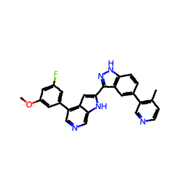 COc1cc(F)cc(-c2cncc3[nH]c(-c4n[nH]c5ccc(-c6cnccc6C)cc45)cc23)c1